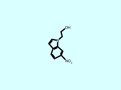 O=[N+]([O-])c1ccc2ccn(CCO)c2c1